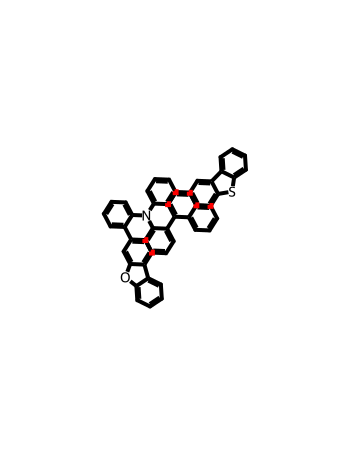 c1cc(-c2ccc3sc4ccccc4c3c2)cc(N(c2ccccc2-c2ccc3c(c2)oc2ccccc23)c2ccccc2-c2cccc3ccccc23)c1